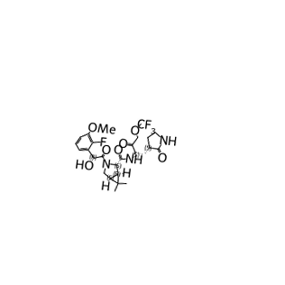 COc1cccc([C@@H](O)C(=O)N2C[C@H]3[C@@H]([C@H]2C(=O)N[C@@H](C[C@@H]2CCNC2=O)C(=O)COC(F)(F)F)C3(C)C)c1F